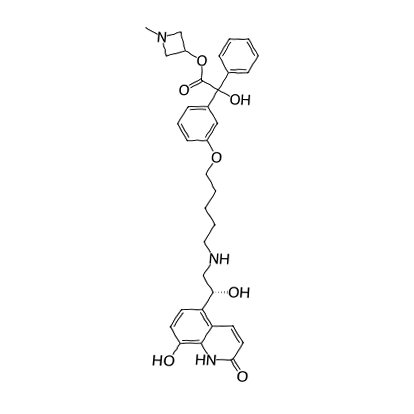 CN1CC(OC(=O)C(O)(c2ccccc2)c2cccc(OCCCCCNC[C@H](O)c3ccc(O)c4[nH]c(=O)ccc34)c2)C1